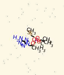 CSSCCOP(=O)(CO[C@H](C)Cn1cnc2c(N)ncnc21)OCC(C)(C)C